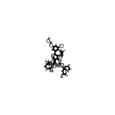 COCOc1cc(Cl)c([C@H]2C[C@H]2C)c(-c2ncc3c(N4C[C@H]5CC[C@@H](C4)N5C(=O)O)nc(OC[C@@]45CCCN4C[C@H](F)C5)nc3c2F)c1